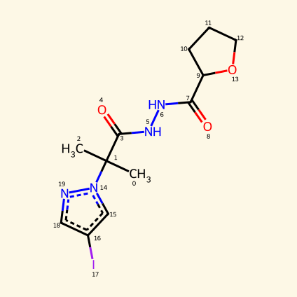 CC(C)(C(=O)NNC(=O)C1CCCO1)n1cc(I)cn1